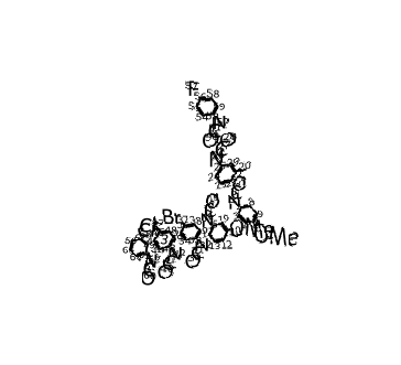 COc1ccc(N=C=O)cc1.COc1cccc(N=C=O)c1.Cc1cccc(N=C=O)c1.O=C=Nc1ccc(Br)cc1.O=C=Nc1ccc(Cl)cc1.O=C=Nc1ccc(F)cc1.O=C=Nc1cccc(C(F)(F)F)c1